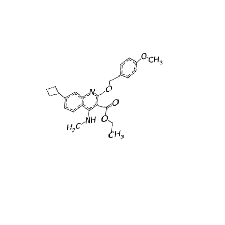 CCOC(=O)c1c(OCc2ccc(OC)cc2)nc2cc(C3CCC3)ccc2c1NC